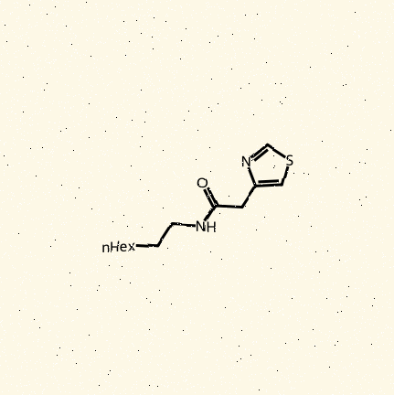 CCCCCCCCNC(=O)Cc1cscn1